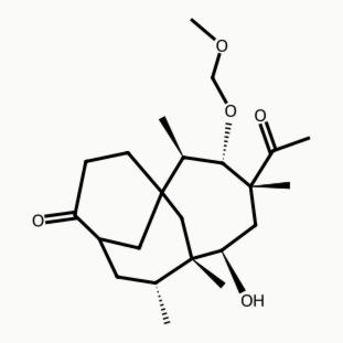 COCO[C@H]1[C@H](C)C23CCC(=O)C(C[C@@H](C)[C@](C)(C2)[C@H](O)C[C@@]1(C)C(C)=O)C3